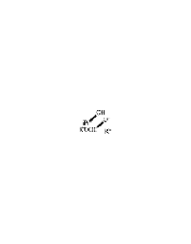 CC(C)O.O=C([O-])[O-].[K+].[K+]